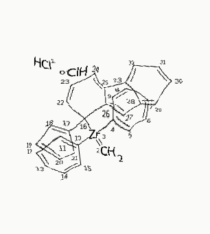 Cl.Cl.[CH2]=[Zr]([c]1ccccc1)([c]1ccccc1)[C]1(C2=CC=CC2)C=CC=C2C1=Cc1ccccc12